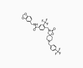 O=C(NCc1ccc2c(c1)OCO2)c1ccc(CN2CC3(CCN(Cc4ccc(C(F)(F)F)cc4)CC3)OC2=O)c(C(F)(F)F)c1